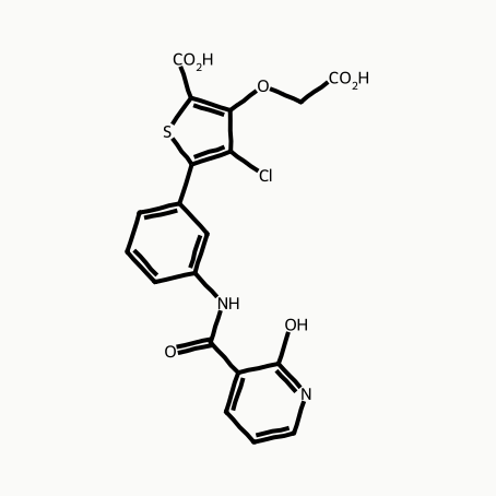 O=C(O)COc1c(C(=O)O)sc(-c2cccc(NC(=O)c3cccnc3O)c2)c1Cl